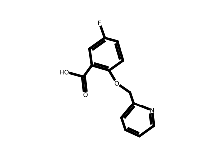 O=C(O)c1cc(F)ccc1OCc1ccccn1